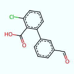 O=Cc1cccc(-c2cccc(Cl)c2C(=O)O)c1